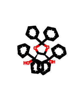 OC(c1ccccc1)(c1ccccc1)[C@@H]1OC(c2ccccc2)(c2ccccc2)O[C@H]1C(O)(c1ccccc1)c1ccccc1